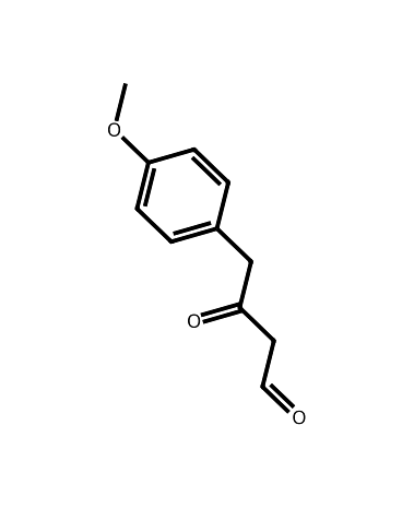 COc1ccc(CC(=O)CC=O)cc1